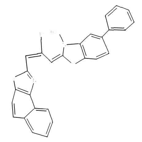 CCCCN1C(=CC(=Cc2nc3c(ccc4ccccc43)s2)CC)Sc2ccc(-c3ccccc3)cc21